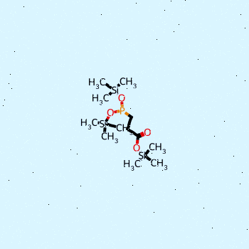 C[Si](C)(C)OC(=O)CCP(O[Si](C)(C)C)O[Si](C)(C)C